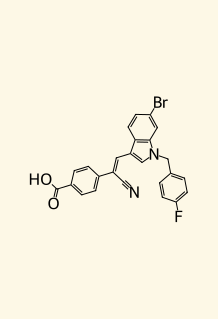 N#C/C(=C\c1cn(Cc2ccc(F)cc2)c2cc(Br)ccc12)c1ccc(C(=O)O)cc1